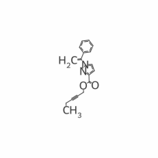 C=C(c1ccccc1)n1ccc(C(=O)OCC#CCC)n1